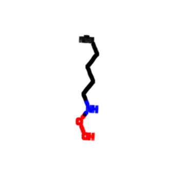 CCCCCCCCNOO